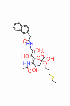 CCSCCCO[C@]1(C(=O)O)CC(O)[C@@H](NC(C)=O)[C@H]([C@H](O)[C@H](O)CNC(=O)Cc2ccc3ccccc3c2)O1